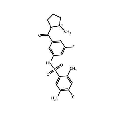 Cc1cc(S(=O)(=O)Nc2cc(F)cc(C(=O)N3CCC[C@H]3C)c2)c(C)cc1Cl